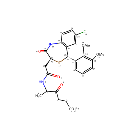 CCOC(=O)CCC(=O)C(C)NC(=O)C[C@@H]1S[C@@H](c2cccc(OC)c2OC)c2cc(Cl)ccc2NC1=O